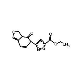 CCOC(=O)c1cc(C2C=CC3=COCC3C2=O)ns1